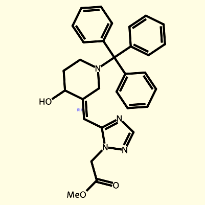 COC(=O)Cn1ncnc1/C=C1\CN(C(c2ccccc2)(c2ccccc2)c2ccccc2)CCC1O